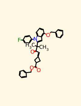 CC(C)(C(=O)C=C1CC(C(=O)OCc2ccccc2)C1)c1cc2c(OCc3ccccc3)cccc2n1-c1ccc(F)cc1